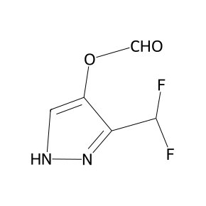 O=COc1c[nH]nc1C(F)F